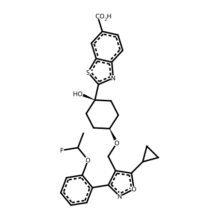 CC(F)Oc1ccccc1-c1noc(C2CC2)c1CO[C@H]1CC[C@](O)(c2nc3ccc(C(=O)O)cc3s2)CC1